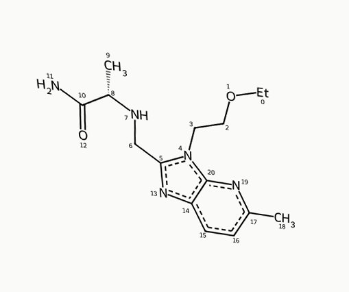 CCOCCn1c(CN[C@@H](C)C(N)=O)nc2ccc(C)nc21